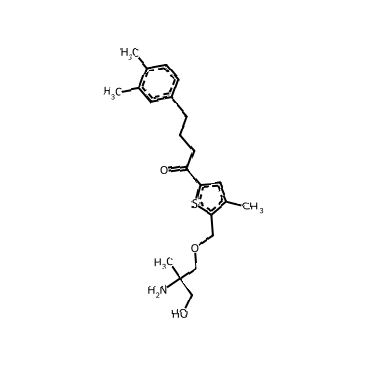 Cc1ccc(CCCC(=O)c2cc(C)c(COCC(C)(N)CO)s2)cc1C